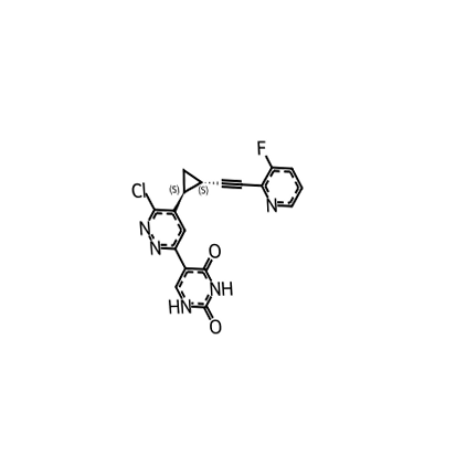 O=c1[nH]cc(-c2cc([C@H]3C[C@@H]3C#Cc3ncccc3F)c(Cl)nn2)c(=O)[nH]1